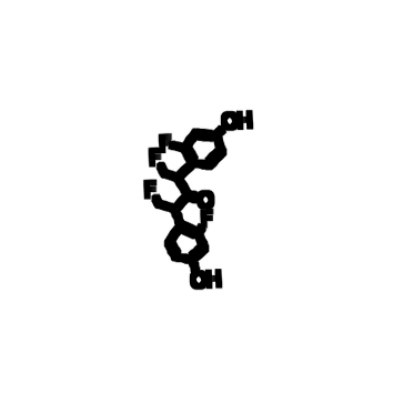 O=C(C(CF)c1ccc(O)cc1F)C(CF)c1ccc(O)cc1F